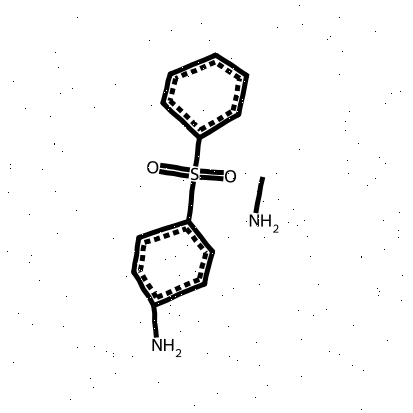 CN.Nc1ccc(S(=O)(=O)c2ccccc2)cc1